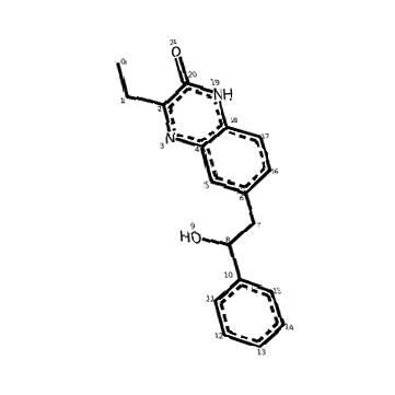 CCc1nc2cc(CC(O)c3ccccc3)ccc2[nH]c1=O